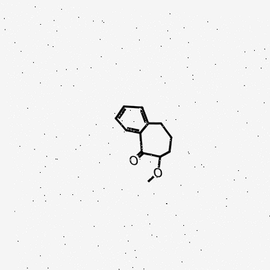 COC1CCCc2ccccc2C1=O